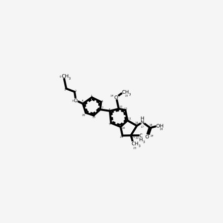 CCCOc1ccc(-c2cc3c(cc2OC)C(NC(=O)O)C(C)(C)C3)cc1